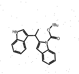 CC(c1c[nH]c2ccccc12)c1cc2ccccc2n1C(=O)OC(C)(C)C